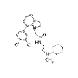 CN(CCNC(=O)Cn1ccc2cccc(-c3ccc(Cl)c(Cl)c3)c21)C1CCCCC1